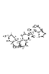 CN(c1nccs1)S(=O)(=O)c1ccc2c(-c3ccc(F)cc3O)nccc2c1